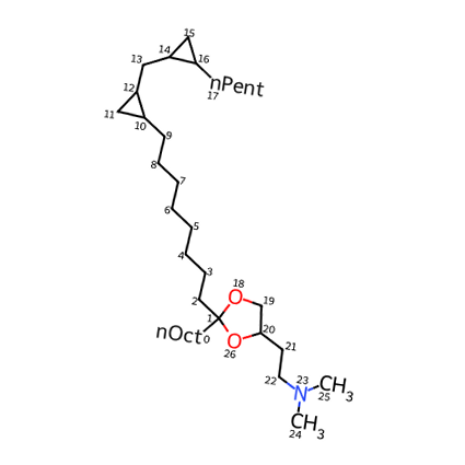 CCCCCCCCC1(CCCCCCCCC2CC2CC2CC2CCCCC)OCC(CCN(C)C)O1